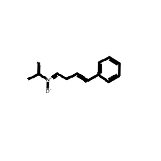 CC(C)[N+]([O-])=CCC=Cc1ccccc1